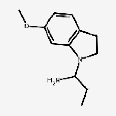 C[CH]C(N)N1CCc2ccc(OC)cc21